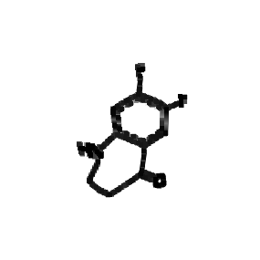 O=C1CCNc2cc(F)c(F)cc21